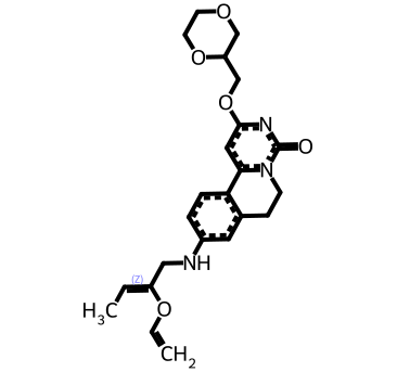 C=CO/C(=C\C)CNc1ccc2c(c1)CCn1c-2cc(OCC2COCCO2)nc1=O